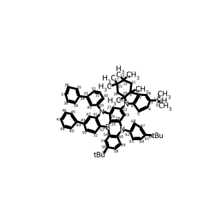 C[SiH](C)c1ccc2c(c1)C1(C)CC(C)(C)C(C)(C)CC1(C)N2c1cc2c3c(c1)N(c1cccc(-c4ccccc4)c1)c1cc(-c4ccccc4)ccc1B3c1cc(C(C)(C)C)ccc1N2c1ccc(C(C)(C)C)cc1